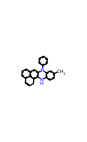 Cc1ccc2c(c1)N(c1ccccc1)c1cc3cccc4c3c(c1N2)CC=C4